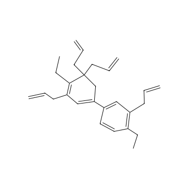 C=CCC1=C(CC)C(CC=C)(CC=C)CC(c2ccc(CC)c(CC=C)c2)=C1